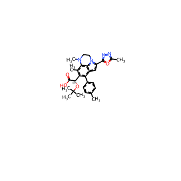 Cc1ccc(-c2c([C@H](OC(C)(C)C)C(=O)O)c(C)c3c4c2cc(-c2nnc(C)o2)n4CCN3C)cc1